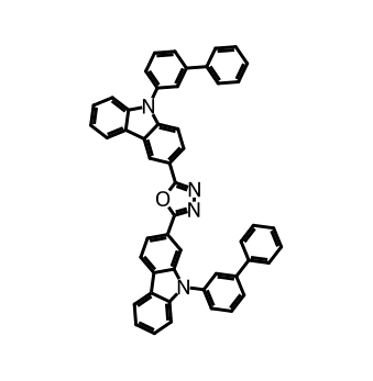 c1ccc(-c2cccc(-n3c4ccccc4c4cc(-c5nnc(-c6ccc7c8ccccc8n(-c8cccc(-c9ccccc9)c8)c7c6)o5)ccc43)c2)cc1